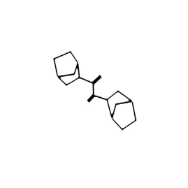 O=C(C(=O)C1CC2CCC1C2)C1CC2CCC1C2